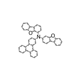 c1ccc2c(c1)oc1cc(N(c3ccc4c5ccccc5c5ccccc5c4c3)c3cccc4c3oc3ccccc34)ccc12